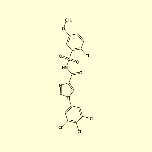 COc1ccc(Cl)c(S(=O)(=O)NC(=O)c2cn(-c3cc(Cl)c(Cl)c(Cl)c3)cn2)c1